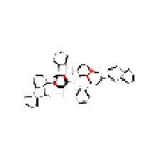 CC1(C)c2ccccc2-c2cccc(-c3ccc(N(c4ccccc4-c4ccc5oc6cc7ccccc7cc6c5c4)c4ccccc4-n4c5ccccc5c5ccccc54)cc3)c21